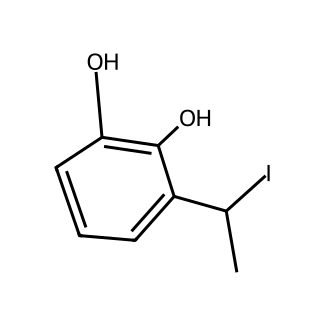 CC(I)c1cccc(O)c1O